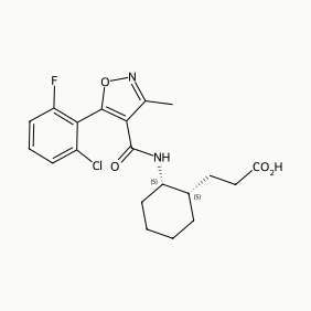 Cc1noc(-c2c(F)cccc2Cl)c1C(=O)N[C@H]1CCCC[C@H]1CCC(=O)O